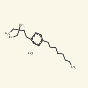 CCCCCCCCc1ccc(CCC(N)(CC)CO)cc1.Cl